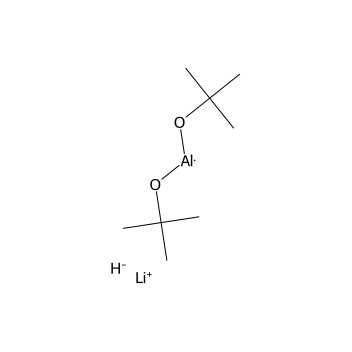 CC(C)(C)[O][Al][O]C(C)(C)C.[H-].[Li+]